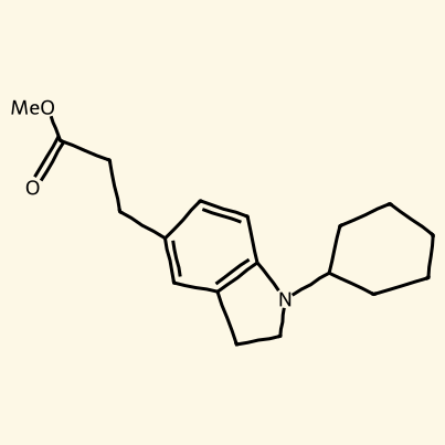 COC(=O)CCc1ccc2c(c1)CCN2C1CCCCC1